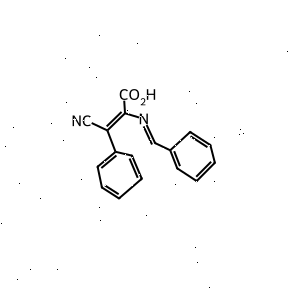 N#CC(=C(N=Cc1ccccc1)C(=O)O)c1ccccc1